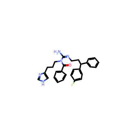 NC(=NCCC(c1ccccc1)c1ccc(F)cc1)N(CCCc1c[nH]cn1)C(=O)c1ccccc1